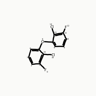 Fc1cccc(Oc2cccc(F)c2Cl)c1Cl